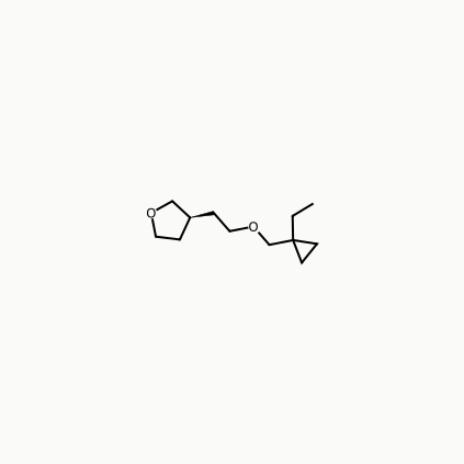 CCC1(COCC[C@H]2CCOC2)CC1